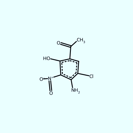 CC(=O)c1cc(Cl)c(N)c([N+](=O)[O-])c1O